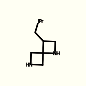 CC(C)CC1CNC12CNC2